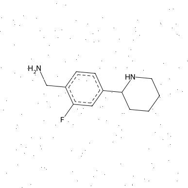 NCc1ccc(C2CCCCN2)cc1F